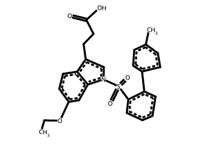 CCOc1ccc2c(CCC(=O)O)cn(S(=O)(=O)c3ccccc3-c3ccc(C)cc3)c2c1